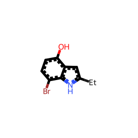 CCc1cc2c(O)ccc(Br)c2[nH]1